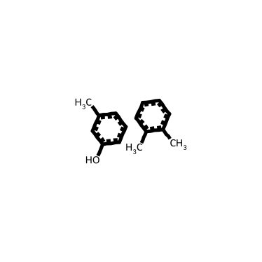 Cc1cccc(O)c1.Cc1ccccc1C